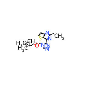 CCc1nc(-c2nncn2COCC[Si](C)(C)C)c2sccc2n1